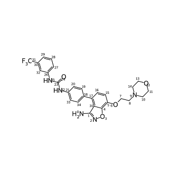 Nc1noc2c(OCCN3CCOCC3)ccc(-c3ccc(NC(=O)Nc4cccc(C(F)(F)F)c4)cc3)c12